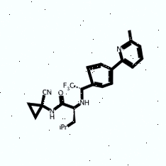 Cc1cccc(-c2ccc([C@H](N[C@@H](CC(C)C)C(=O)NC3(C#N)CC3)C(F)(F)F)cc2)n1